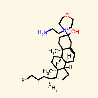 CC(C)CCC[C@@H](C)[C@H]1CC[C@H]2[C@@H]3CC=C4CC(O)([N+]5(CCN)CCOCC5)CC[C@]4(C)[C@H]3CC[C@]12C